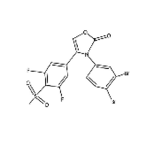 CS(=O)(=O)c1c(F)cc(-c2coc(=O)n2-c2ccc(Br)c(Br)c2)cc1F